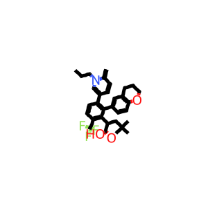 C=C1C=CC(c2ccc(C(F)(F)F)c(C(CC(C)(C)C)C(=O)O)c2-c2ccc3c(c2)CCCO3)=CN1CCC